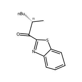 CCCC[C@H](C)C(=O)c1nc2ccccc2s1